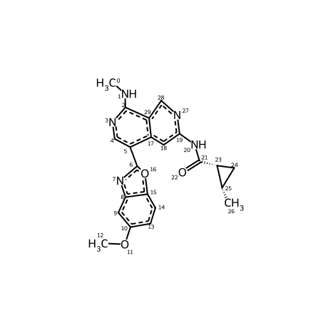 CNc1ncc(-c2nc3cc(OC)ccc3o2)c2cc(NC(=O)[C@@H]3C[C@@H]3C)ncc12